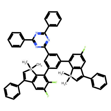 C[Si]1(C)C=C(c2ccccc2)c2cc(F)cc(-c3cc(-c4nc(-c5ccccc5)nc(-c5ccccc5)n4)cc(-c4c(F)c(F)cc5c4[Si](C)(C)C=C5c4ccccc4)c3)c21